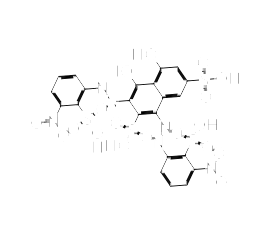 O=[N+]([O-])c1cccc(N=Nc2c(S(=O)(=O)O)c(N=Nc3cccc([N+](=O)[O-])c3S(=O)(=O)O)c3cc(S(=O)(=O)O)cc(O)c3c2O)c1S(=O)(=O)O